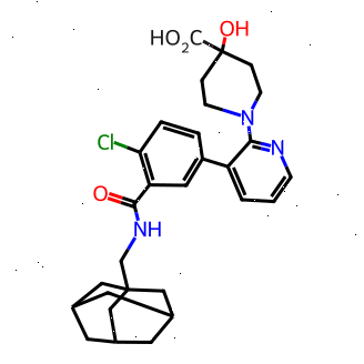 O=C(NCC12CC3CC(CC(C3)C1)C2)c1cc(-c2cccnc2N2CCC(O)(C(=O)O)CC2)ccc1Cl